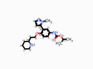 CC(C)OC(=O)Nc1ccc(OCCC2CCCCN2)c(-c2ccnn2C)c1